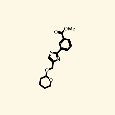 COC(=O)c1cccc(-c2nc(COC3CCCCO3)cs2)c1